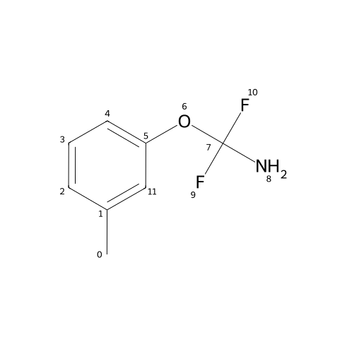 Cc1cccc(OC(N)(F)F)c1